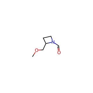 COCC1CCN1C=O